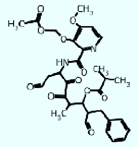 COc1ccnc(C(=O)NC(CC=O)C(=O)C(=O)C(C)C(OC(=O)C(C)C)C(C=O)Cc2ccccc2)c1OCOC(C)=O